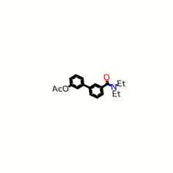 CCN(CC)C(=O)c1cccc(-c2cccc(OC(C)=O)c2)c1